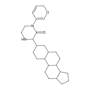 O=C1C(C2CCC3C(CCC4C5CCCC5CCC34)C2)NCCN1C1=COCC=C1